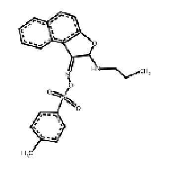 CCCNC1Oc2ccc3ccccc3c2/C1=N/OS(=O)(=O)c1ccc(C)cc1